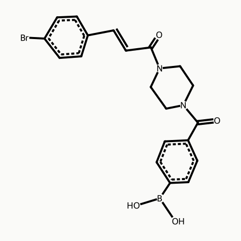 O=C(C=Cc1ccc(Br)cc1)N1CCN(C(=O)c2ccc(B(O)O)cc2)CC1